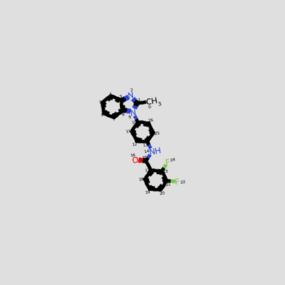 Cc1nc2ccccc2n1-c1ccc(NC(=O)c2cccc(F)c2F)cc1